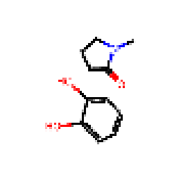 CN1CCCC1=O.Oc1ccccc1O